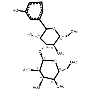 CC(=O)OC[C@H]1O[C@H](O[C@H]2[C@H](OC(C)=O)[C@@H](COC(C)=O)OC(c3cccc(O)c3)[C@H]2O)[C@H](OC(C)=O)[C@H](OC(C)=O)[C@@H]1OC(C)=O